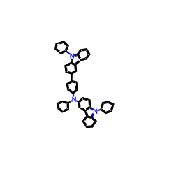 c1ccc(N(c2ccc(-c3ccc4c(c3)c3ccccc3n4-c3ccccc3)cc2)c2ccc3c(c2)c2ccccc2n3-c2ccccc2)cc1